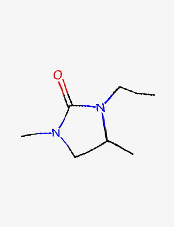 CCN1C(=O)N(C)CC1C